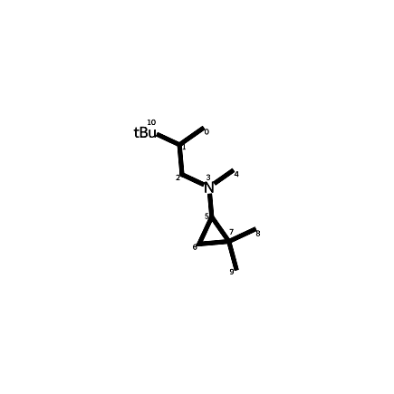 CC(CN(C)C1CC1(C)C)C(C)(C)C